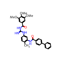 COc1cc(C(=O)NC(=N)Nc2ccc(C)c(NC(=O)c3ccc(-c4ccccc4)cc3)c2)cc(OC)c1OC